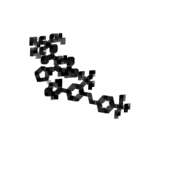 CC(C)(C)OC(=O)N/C(=N\C(=O)O)N1CCC[C@H]1c1nc(-c2ccc(CCc3ccc(C(F)(F)F)cc3)c(C(F)(F)F)c2)no1